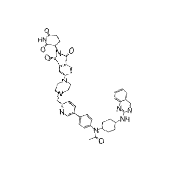 CC(=O)N(c1ccc(-c2ccc(CN3CCN(c4ccc5c(c4)C(=O)N(C4CCC(=O)NC4=O)C5=O)CC3)nc2)cc1)C1CCC(Nc2ncc3ccccc3n2)CC1